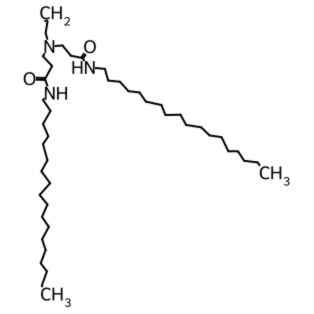 C=CCN(CCC(=O)NCCCCCCCCCCCCCCCCCC)CCC(=O)NCCCCCCCCCCCCCCCCCC